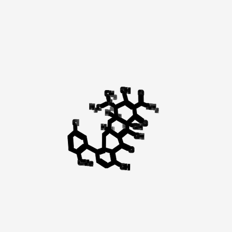 COc1ccc(Cl)cc1-c1ccc(O)c2c1C[C@@H]1C[C@@H]3[C@@H](N(C)C)C(O)=C(C(N)=O)C(=O)[C@]3(O)C(O)=C1C2=O